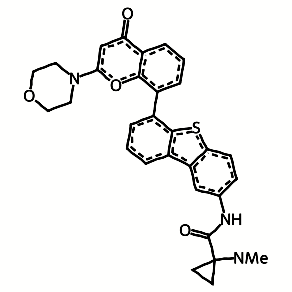 CNC1(C(=O)Nc2ccc3sc4c(-c5cccc6c(=O)cc(N7CCOCC7)oc56)cccc4c3c2)CC1